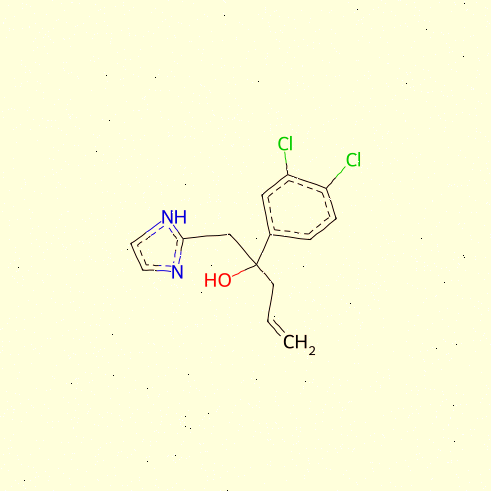 C=CCC(O)(Cc1ncc[nH]1)c1ccc(Cl)c(Cl)c1